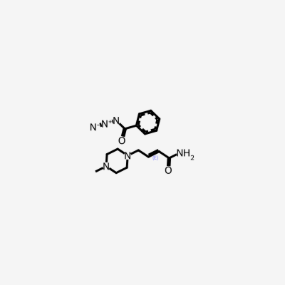 CN1CCN(C/C=C/C(N)=O)CC1.[N-]=[N+]=NC(=O)c1ccccc1